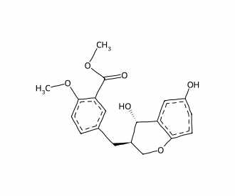 COC(=O)c1cc(C[C@@H]2COc3ccc(O)cc3[C@H]2O)ccc1OC